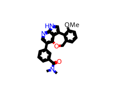 COc1cccc2c1-c1c[nH]c3ncc(-c4cccc(C(=O)N(C)C)c4)c(c13)OC2